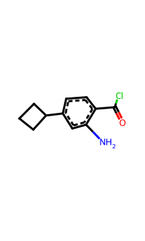 Nc1cc(C2CCC2)ccc1C(=O)Cl